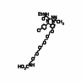 CCNC(=O)C[C@@H]1N=C(c2ccc(Cl)cc2)c2cc(OCCOCCOCCOCCOCCOCCNC(=O)O)ccc2-n2c(C)nnc21